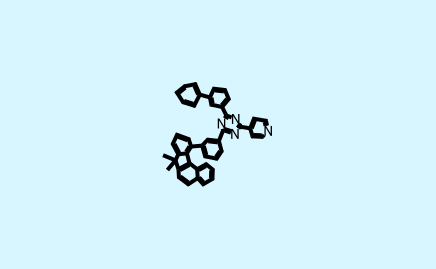 CC1(C)c2cccc(-c3cccc(-c4nc(-c5ccncc5)nc(-c5cccc(-c6ccccc6)c5)n4)c3)c2-c2c1ccc1ccccc21